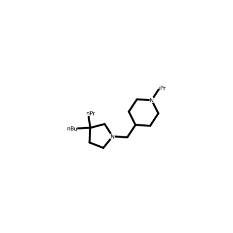 CCCCC1(CCC)CCN(CC2CCN(C(C)C)CC2)C1